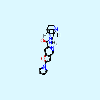 C[C@H]1[C@H](NC(=O)c2cc3oc(-n4cccc4)cc3cn2)C2CCN1CC2